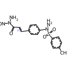 Cc1ccc(S(=O)(=O)N(N)c2ccc(/C=C/C(=O)N(N)N=O)cc2)cc1